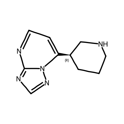 c1cc([C@@H]2CCCNC2)n2ncnc2n1